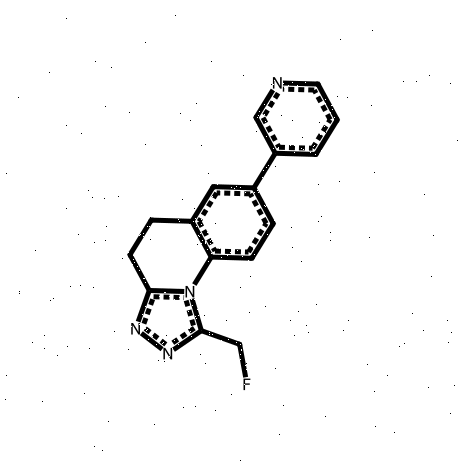 FCc1nnc2n1-c1ccc(-c3cccnc3)cc1CC2